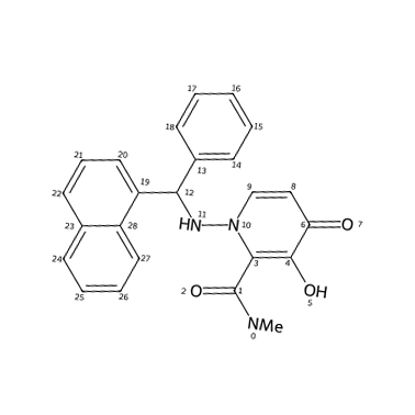 CNC(=O)c1c(O)c(=O)ccn1NC(c1ccccc1)c1cccc2ccccc12